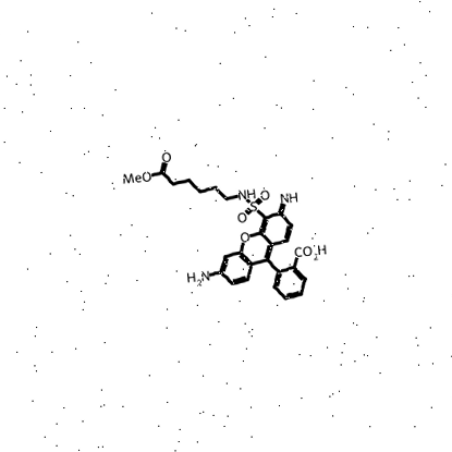 COC(=O)CCCCCNS(=O)(=O)c1c2oc3cc(N)ccc3c(-c3ccccc3C(=O)O)c-2ccc1=N